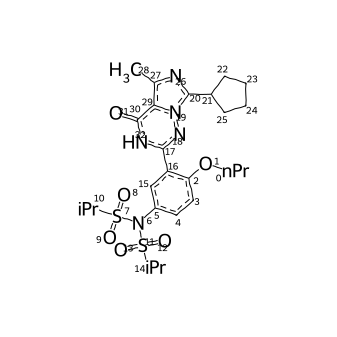 CCCOc1ccc(N(S(=O)(=O)C(C)C)S(=O)(=O)C(C)C)cc1-c1nn2c(C3CCCC3)nc(C)c2c(=O)[nH]1